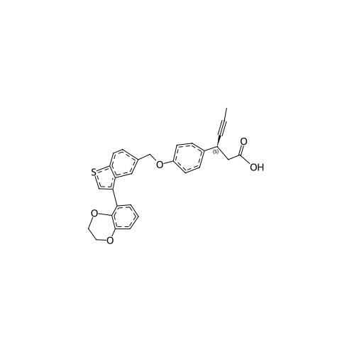 CC#C[C@@H](CC(=O)O)c1ccc(OCc2ccc3scc(-c4cccc5c4OCCO5)c3c2)cc1